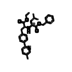 CCOC(=O)C(Cc1ccc(-c2ccc(C)cn2)cc1)N[C@@H](CC(C)C)C(=O)OCc1ccccc1